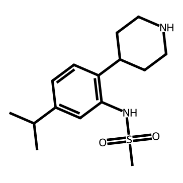 CC(C)c1ccc(C2CCNCC2)c(NS(C)(=O)=O)c1